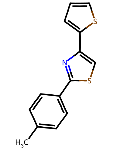 Cc1ccc(-c2nc(-c3cccs3)cs2)cc1